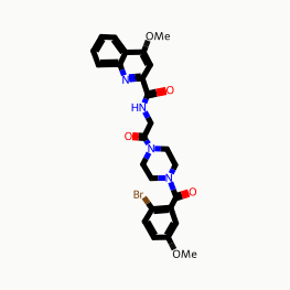 COc1ccc(Br)c(C(=O)N2CCN(C(=O)CNC(=O)c3cc(OC)c4ccccc4n3)CC2)c1